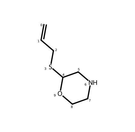 C=CCSC1CNCCO1